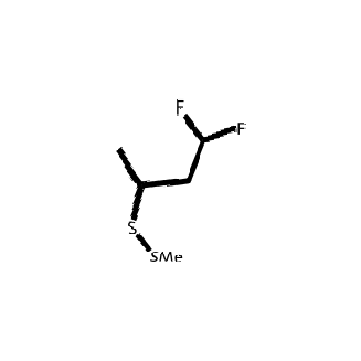 CSSC(C)CC(F)F